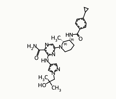 C[C@@H]1[C@H](NC(=O)c2ccc(C3CC3)cc2)CCCN1c1cnc(C(N)=O)c(Nc2cnn(CC(C)(C)O)c2)n1